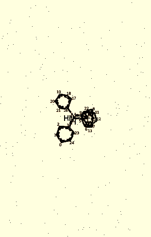 c1ccc(N[C]23[CH]4[CH]5[CH]6[CH]2[Fe]56432789[CH]3[CH]2[CH]7[C]8(Nc2ccccc2)[CH]39)cc1